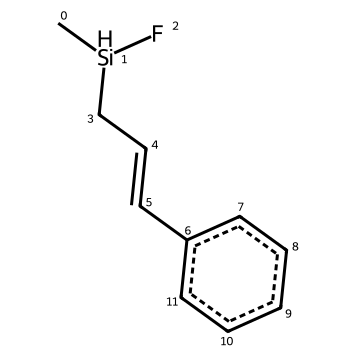 C[SiH](F)CC=Cc1ccccc1